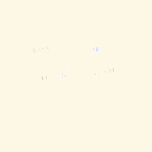 CCOC(=O)C1CCNC(=O)C1N(CC)c1ccccc1.Cl